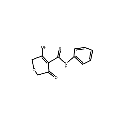 O=C1COCC(O)=C1C(=S)Nc1ccccc1